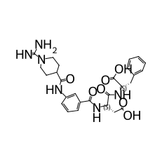 N=C(N)N1CCC(C(=O)Nc2cccc(C(=O)N[C@@H](CC(=O)O)C(=O)N[C@@H](Cc3ccccc3)C(=O)O)c2)CC1